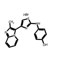 Br.Cc1nc2ccccn2c1-c1csc(Nc2ccc(O)cc2)n1